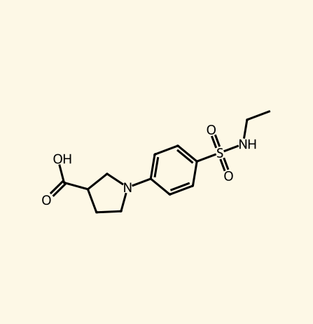 CCNS(=O)(=O)c1ccc(N2CCC(C(=O)O)C2)cc1